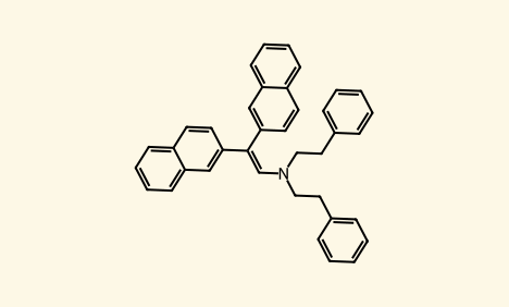 C(=C(c1ccc2ccccc2c1)c1ccc2ccccc2c1)N(CCc1ccccc1)CCc1ccccc1